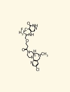 C[C@@H](COCCC(=O)N1CCN2c3ncc(Cl)cc3CN(C)C[C@H]2C1)Nc1cn[nH]c(=O)c1C(F)(F)F